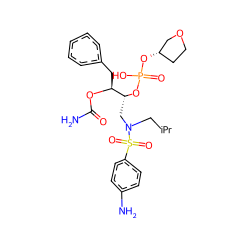 CC(C)CN(C[C@@H](OP(=O)(O)O[C@H]1CCOC1)[C@H](Cc1ccccc1)OC(N)=O)S(=O)(=O)c1ccc(N)cc1